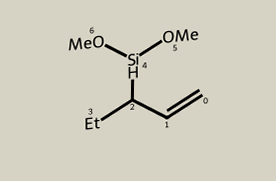 C=CC(CC)[SiH](OC)OC